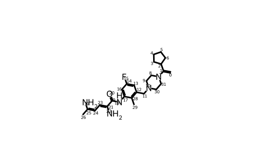 C=C(C1CCCC1)N1CCN(Cc2cc(F)cc(NC(=O)/C(N)=C/C=C(/C)N)c2C)CC1